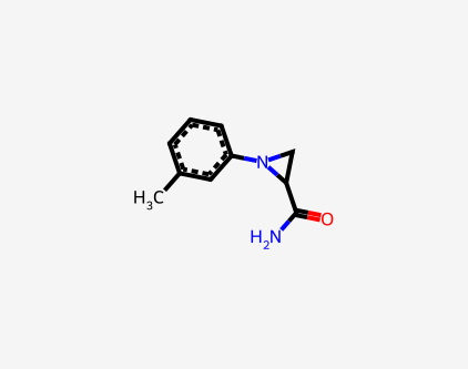 Cc1cccc(N2CC2C(N)=O)c1